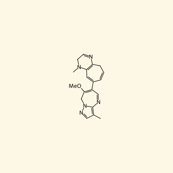 COC1=C(C2=CC3=C(CC=C2)N=CCN3C)C=Nc2c(C)cnn2C1